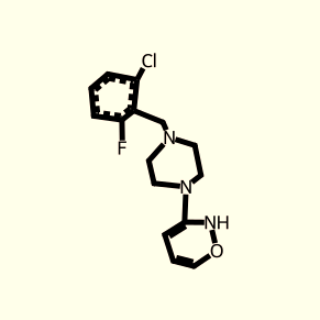 Fc1cccc(Cl)c1CN1CCN(C2=CC=CON2)CC1